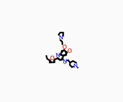 CCc1ccc(-c2cc(N(C)CC3CCN(C)CC3)c3cc(OC)c(OCCCN4CCCC4)cc3n2)o1